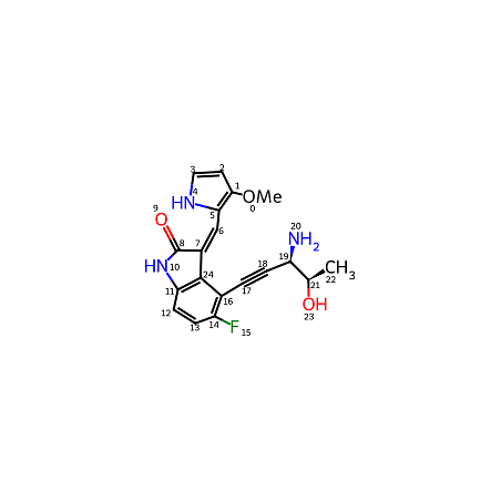 COc1cc[nH]c1/C=C1\C(=O)Nc2ccc(F)c(C#C[C@@H](N)[C@@H](C)O)c21